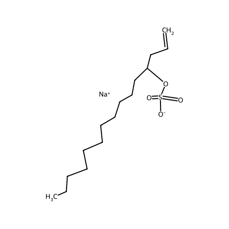 C=CCC(CCCCCCCCCCC)OS(=O)(=O)[O-].[Na+]